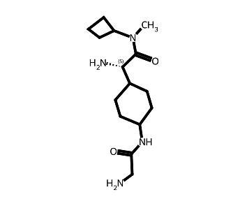 CN(C(=O)[C@@H](N)C1CCC(NC(=O)CN)CC1)C1CCC1